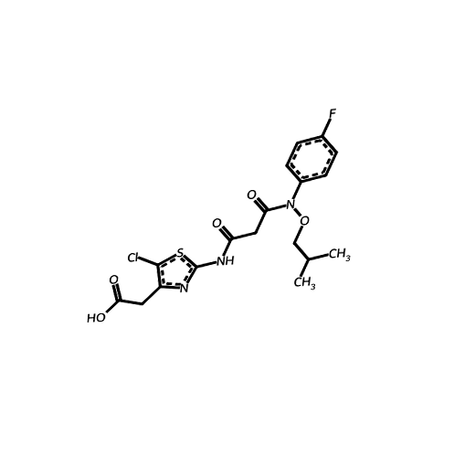 CC(C)CON(C(=O)CC(=O)Nc1nc(CC(=O)O)c(Cl)s1)c1ccc(F)cc1